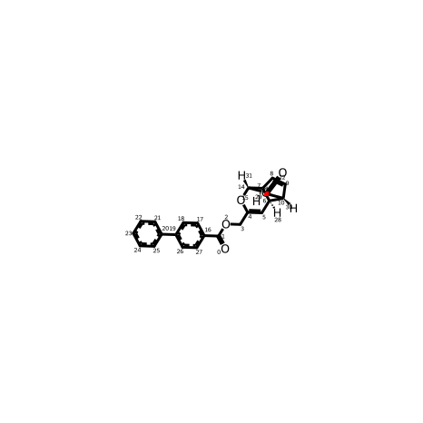 O=C(OCC1=C[C@H]2[C@@H]3C=C[C@H]2C(=O)O[C@@H]3O1)c1ccc(-c2ccccc2)cc1